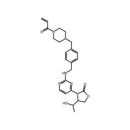 C=CC(=O)N1CCN(Cc2ccc(CNc3nccc(N4C(=O)OCC4C(C)O)n3)cc2)CC1